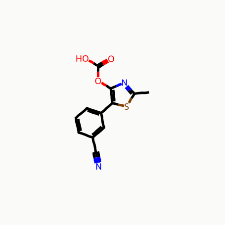 Cc1nc(OC(=O)O)c(-c2cccc(C#N)c2)s1